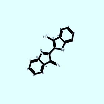 O=C1C(c2[se]c3ccccc3c2O)=Nc2ccccc21